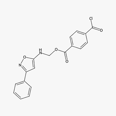 O=C(Cl)c1ccc(C(=O)OCNc2cc(-c3ccccc3)no2)cc1